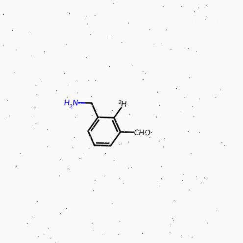 [2H]c1c([C]=O)cccc1CN